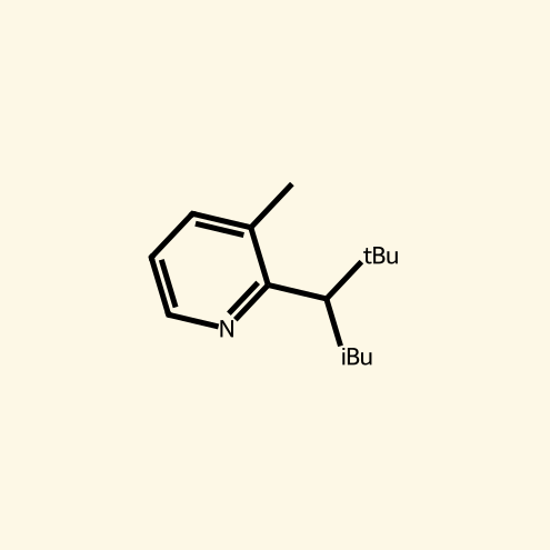 CCC(C)C(c1ncccc1C)C(C)(C)C